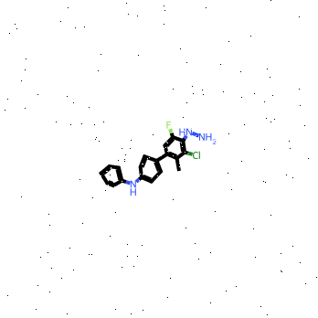 Cc1c(-c2ccc(Nc3ccccc3)cc2)cc(F)c(NN)c1Cl